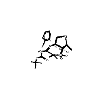 CC1OC[C@]2(c3ccccc3F)N=C(NC(=O)OC(C)(C)C)C(C)(C)S(=O)(=O)[C@H]12